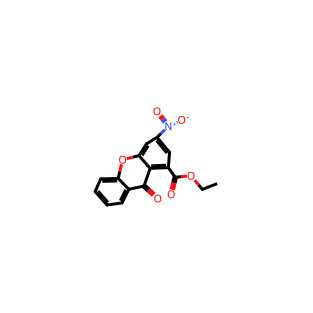 CCOC(=O)c1cc([N+](=O)[O-])cc2oc3ccccc3c(=O)c12